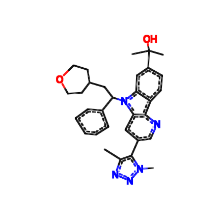 Cc1nnn(C)c1-c1cnc2c3ccc(C(C)(C)O)cc3n(C(CC3CCOCC3)c3ccccc3)c2c1